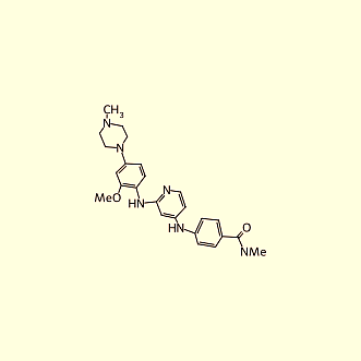 CNC(=O)c1ccc(Nc2ccnc(Nc3ccc(N4CCN(C)CC4)cc3OC)c2)cc1